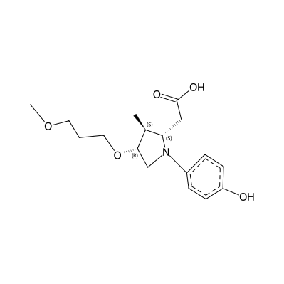 COCCCO[C@H]1CN(c2ccc(O)cc2)[C@@H](CC(=O)O)[C@@H]1C